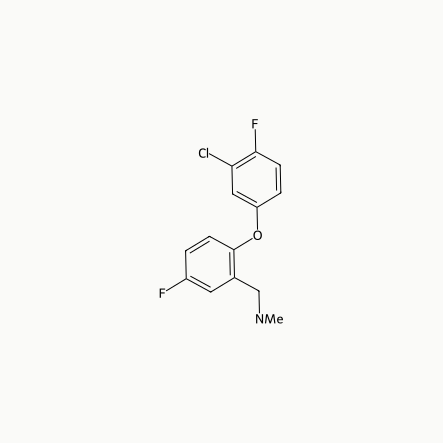 CNCc1cc(F)ccc1Oc1ccc(F)c(Cl)c1